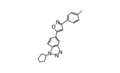 Cc1ccc(-c2cc(-c3ccc4c(c3)nnn4C3CCCC3)on2)cc1